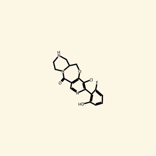 O=C1c2cnc(-c3c(O)cccc3F)c(Cl)c2OCC2CNCCN12